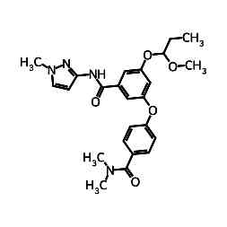 CCC(OC)Oc1cc(Oc2ccc(C(=O)N(C)C)cc2)cc(C(=O)Nc2ccn(C)n2)c1